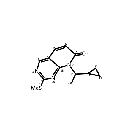 CSc1ncc2ccc(=O)n(C(C)C3CC3)c2n1